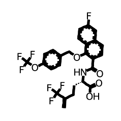 C=C(CC[C@H](NC(=O)c1ccc2cc(F)ccc2c1OCc1ccc(OC(F)(F)F)cc1)C(=O)O)C(F)(F)F